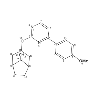 COc1ccc(-c2ccnc(OC3CC4CCC(C3)N4C)n2)cc1